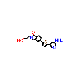 Nc1cncc(-c2ccc(-c3ccc4c(c3)CN(CCCO)C4=O)s2)c1